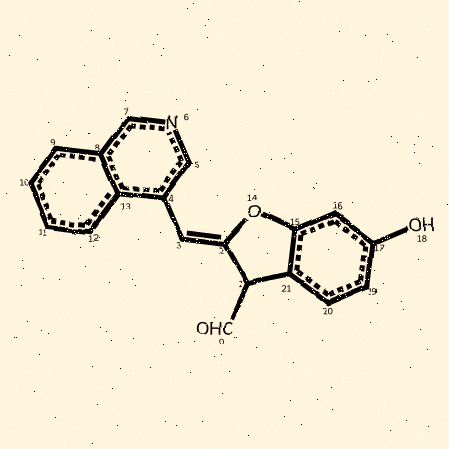 O=CC1/C(=C/c2cncc3ccccc23)Oc2cc(O)ccc21